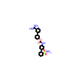 N=C(N)c1cccc(-c2cccc(OC(=O)Nc3ccc(-c4ccccc4S(N)(=O)=O)cc3)c2)c1